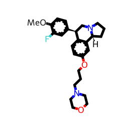 COc1ccc([C@H]2CN3CCC[C@H]3c3cc(OCCCN4CCOCC4)ccc32)cc1F